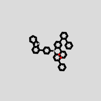 c1ccc(-c2ccc(N(c3ccc(-c4cccc5c4sc4ccccc45)cc3)c3ccc(-c4ccccc4-c4ccccc4)cc3-c3ccccc3)cc2)cc1